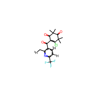 [3H]Cc1nc(C(F)(F)F)c([3H])c([3H])c1C(=O)C1=C(Cl)C(C)(C)C(=O)C(C)(C)C1=O